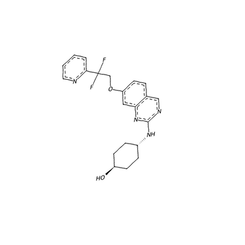 O[C@H]1CC[C@H](Nc2ncc3ccc(OCC(F)(F)c4ccccn4)cc3n2)CC1